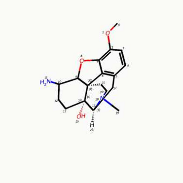 COc1ccc2c3c1OC1C(N)CC[C@]4(O)[C@H](C2)N(C)CC[C@@]314